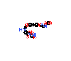 CC(C)(c1ccc(OCc2ccnc(OC3CCOCC3)n2)cc1)c1ccc(O[C@H]2C[C@H](Nc3ccc4c(c3)C(=O)N(C3CCC(=O)NC3=O)C4=O)C2)cc1